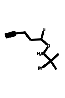 [Li][CH](CCC#C)O[SiH2]C(C)(C)C(C)C